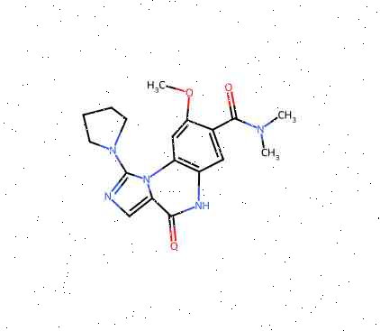 COc1cc2c(cc1C(=O)N(C)C)[nH]c(=O)c1cnc(N3CCCC3)n12